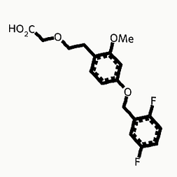 COc1cc(OCc2cc(F)ccc2F)ccc1CCOCC(=O)O